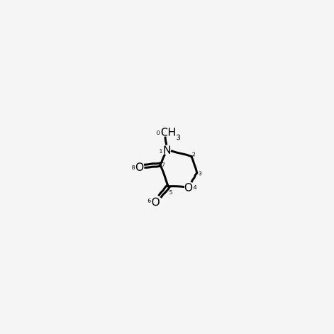 CN1CCOC(=O)C1=O